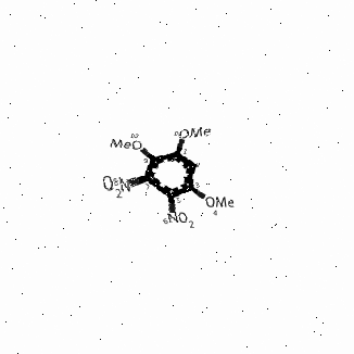 COc1cc(OC)c([N+](=O)[O-])c([N+](=O)[O-])c1OC